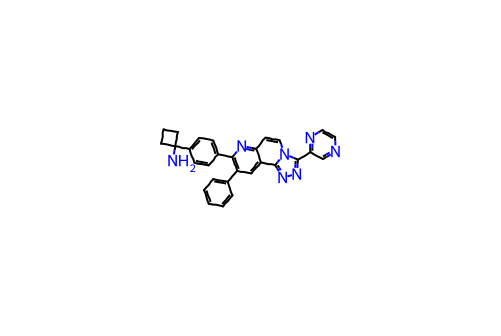 NC1(c2ccc(-c3nc4ccn5c(-c6cnccn6)nnc5c4cc3-c3ccccc3)cc2)CCC1